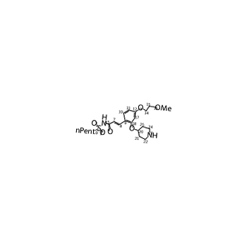 CCCCCS(=O)(=O)NC(=O)C=Cc1ccc(OCCOC)cc1OC1CCNCC1